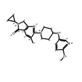 COc1ccc(OC2CCN(c3nc4c(cc3C)C(=O)N(C3CC3)C4)CC2)cn1